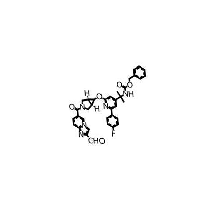 CC(C)(NC(=O)OCc1ccccc1)c1cc(OC2[C@H]3CN(C(=O)c4ccc5nc(C=O)cn5c4)C[C@@H]23)nc(-c2ccc(F)cc2)c1